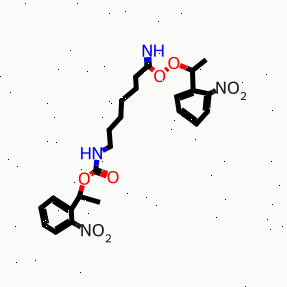 CC(OOC(=N)CCCCCCNC(=O)OC(C)c1ccccc1[N+](=O)[O-])c1ccccc1[N+](=O)[O-]